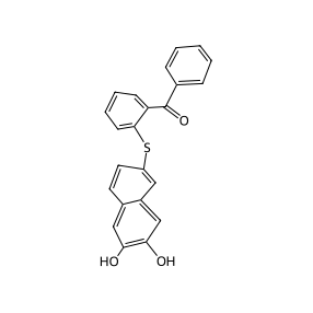 O=C(c1ccccc1)c1ccccc1Sc1ccc2cc(O)c(O)cc2c1